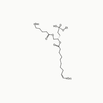 CCCCCCCC/C=C\CCCCCCCC(=O)O[C@@H](CCP(=O)(O)OCC)COC(=O)CCCCCCCCCCCCCC